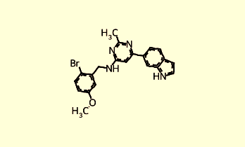 COc1ccc(Br)c(CNc2cc(-c3ccc4cc[nH]c4c3)nc(C)n2)c1